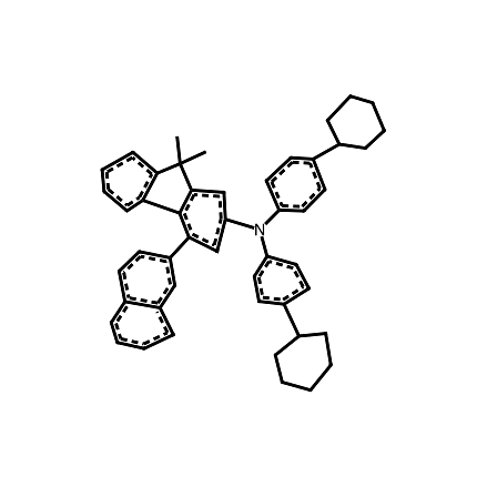 CC1(C)c2ccccc2-c2c(-c3ccc4ccccc4c3)cc(N(c3ccc(C4CCCCC4)cc3)c3ccc(C4CCCCC4)cc3)cc21